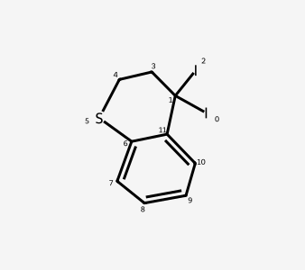 IC1(I)CCSc2ccccc21